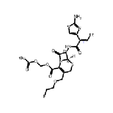 CC/C=C(/C(=O)N[C@@H]1C(=O)N2C(C(=O)OCOC(=O)C(C)(C)C)=C(COCCF)CS[C@H]12)c1csc(N)n1